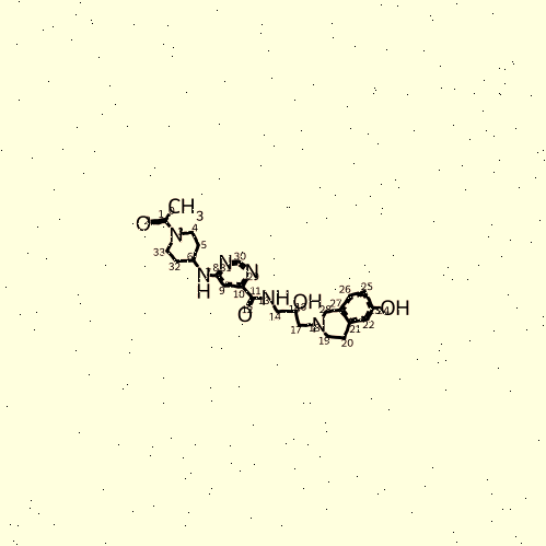 CC(=O)N1CCC(Nc2cc(C(=O)NCC(O)CN3CCc4cc(O)ccc4C3)ncn2)CC1